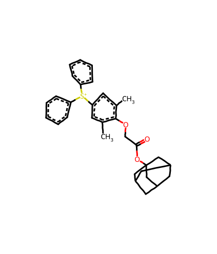 Cc1cc([S+](c2ccccc2)c2ccccc2)cc(C)c1OCC(=O)OC12CC3CC(CC(C3)C1)C2